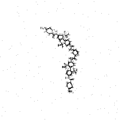 NC1=CC=C(C(=O)Nc2ccc(-c3ccc(NC(=O)c4cccc(C(=O)Nc5ccc(-c6ccc(NC(=O)C7=CC=C(N)CC7)cc6C(F)(F)F)c(C(F)(F)F)c5)c4)cc3C(F)(F)F)c(C(F)(F)F)c2)CC1